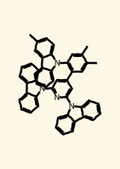 Cc1ccc2c(c1)c1ccccc1n2-c1cc(C)c(C)cc1-c1cc(-n2c3ccccc3c3ccccc32)nc(-n2c3ccccc3c3ccccc32)c1